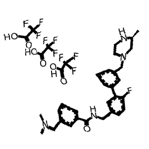 C[C@H]1CN(Cc2cccc(-c3cc(CNC(=O)c4cccc(CN(C)C)c4)ccc3F)c2)CCN1.O=C(O)C(F)(F)F.O=C(O)C(F)(F)F.O=C(O)C(F)(F)F